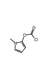 Cn1cccc1OC(=O)Cl